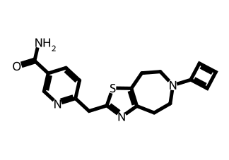 NC(=O)c1ccc(Cc2nc3c(s2)CCN(C2=CC=C2)CC3)nc1